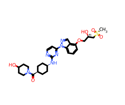 CS(=O)(=O)C[C@H](O)COc1cccc2c1cnn2-c1ccnc(N[C@H]2CC[C@H](C(=O)N3CCC(O)CC3)CC2)n1